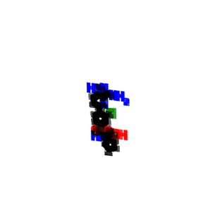 Nc1n[nH]c2ccc(-c3ccc(S(=O)(=O)NC4(CO)CCCC4)cc3Cl)nc12